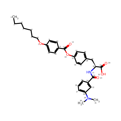 CCCCCCCOc1ccc(C(=O)Oc2ccc(C[C@H](NC(=O)c3cccc(N(C)C)c3)C(=O)O)cc2)cc1